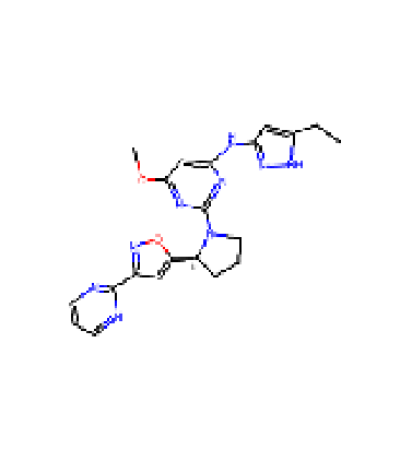 CCc1cc(Nc2cc(OC)nc(N3CCC[C@H]3c3cc(-c4ncccn4)no3)n2)n[nH]1